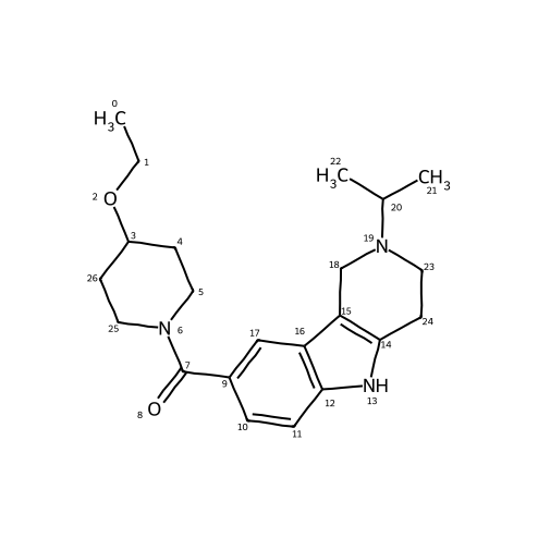 CCOC1CCN(C(=O)c2ccc3[nH]c4c(c3c2)CN(C(C)C)CC4)CC1